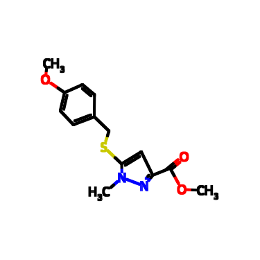 COC(=O)c1cc(SCc2ccc(OC)cc2)n(C)n1